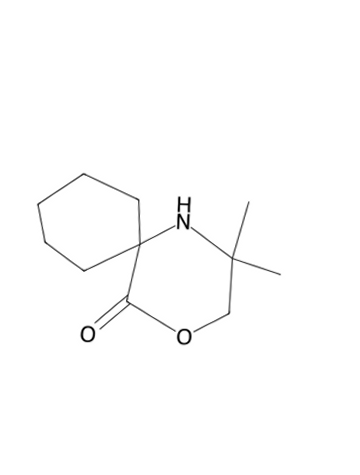 CC1(C)COC(=O)C2(CCCCC2)N1